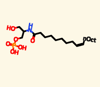 CCCCCCCC/C=C\CCCCCCCC(=O)NC(CO)COP(=O)(O)O